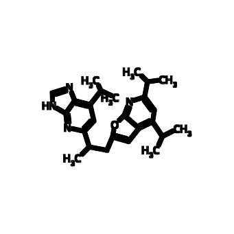 CC(C)c1cc(C(C)C)c2cc(CC(C)c3cc(C(C)C)c4nc[nH]c4n3)oc2n1